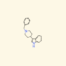 C1=c2[nH]cc(C3CCN(Cc4ccccc4)CC3)c2=CCC1